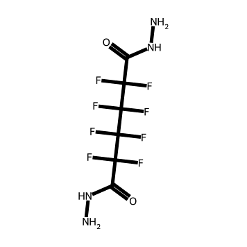 NNC(=O)C(F)(F)C(F)(F)C(F)(F)C(F)(F)C(=O)NN